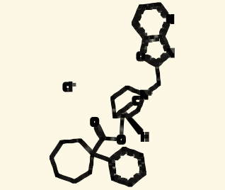 O=C(O[C@H]1C[N+]2(Cc3nc4ncccc4o3)CCC1CC2)C1(c2ccccc2)CCCCCC1.[Cl-]